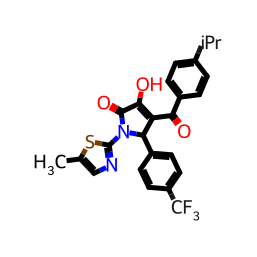 Cc1cnc(N2C(=O)C(O)=C(C(=O)c3ccc(C(C)C)cc3)C2c2ccc(C(F)(F)F)cc2)s1